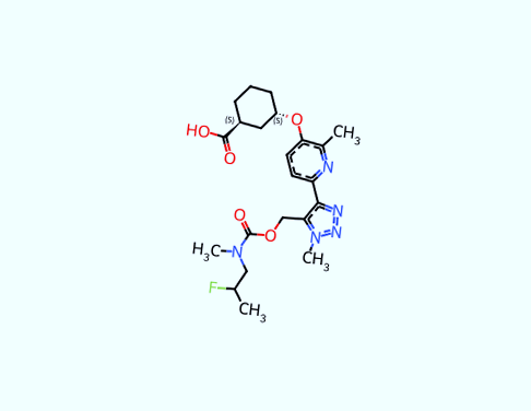 Cc1nc(-c2nnn(C)c2COC(=O)N(C)CC(C)F)ccc1O[C@H]1CCC[C@H](C(=O)O)C1